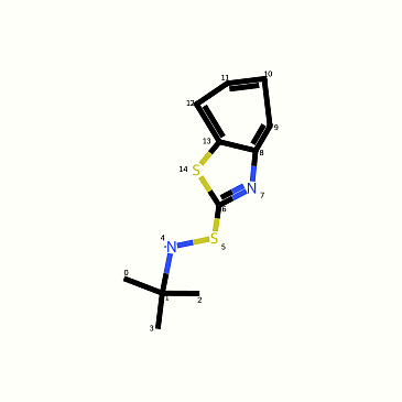 CC(C)(C)[N]Sc1nc2ccccc2s1